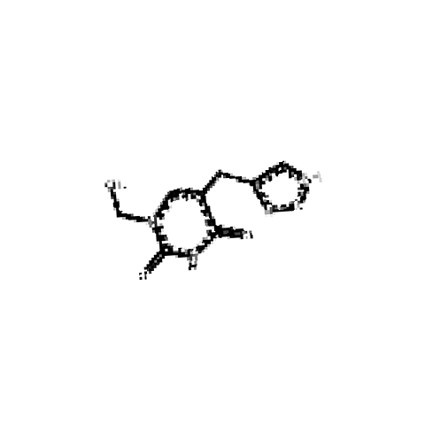 CCn1cc(Cc2c[nH]nn2)c(=O)[nH]c1=O